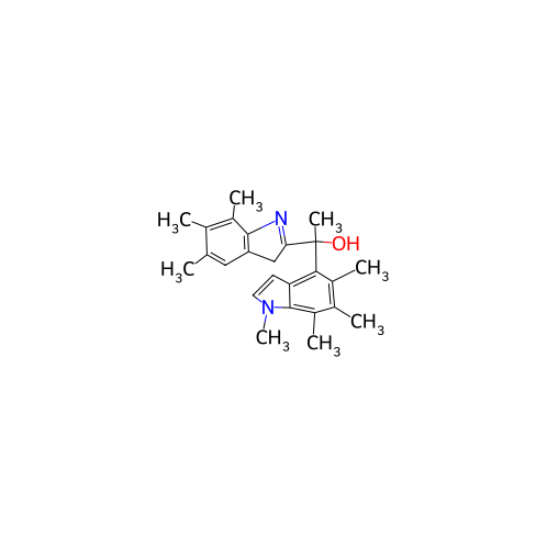 Cc1cc2c(c(C)c1C)N=C(C(C)(O)c1c(C)c(C)c(C)c3c1ccn3C)C2